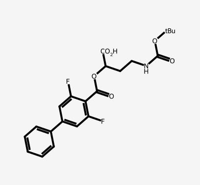 CC(C)(C)OC(=O)NCCC(OC(=O)c1c(F)cc(-c2ccccc2)cc1F)C(=O)O